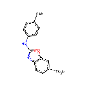 CCOC(=O)c1ccc2nc(Nc3ccc(OC)cc3)oc2c1